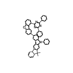 CC1(C)c2cc3c(cc2C2C=CC=CC21)c1cc(-c2ccc4oc5cccc(-c6nc(-c7ccccc7)nc(-c7ccccc7)n6)c5c4c2)ccc1n3-c1ccccc1